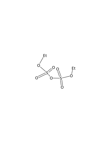 CCOS(=O)(=O)OS(=O)(=O)OCC